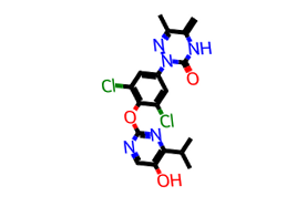 C=C1NC(=O)N(c2cc(Cl)c(Oc3ncc(O)c(C(C)C)n3)c(Cl)c2)N=C1C